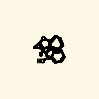 O=C(Nc1ccccc1)C12CC1C(=NO)c1ccccc1O2